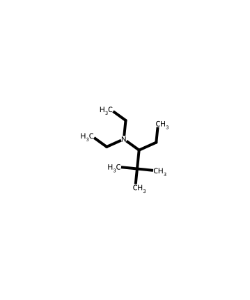 CCC(N(CC)CC)C(C)(C)C